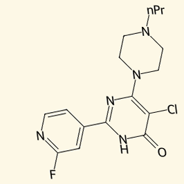 CCCN1CCN(c2nc(-c3ccnc(F)c3)[nH]c(=O)c2Cl)CC1